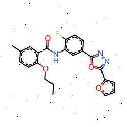 CCCOc1ccc(C)cc1C(=O)Nc1cc(-c2nnc(-c3ccco3)o2)ccc1F